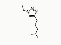 CCn1cc(CCCC(C)C)nn1